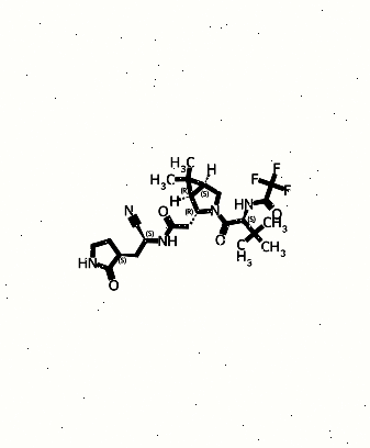 CC(C)(C)[C@H](NC(=O)C(F)(F)F)C(=O)N1C[C@H]2[C@@H]([C@H]1CC(=O)N[C@H](C#N)C[C@@H]1CCNC1=O)C2(C)C